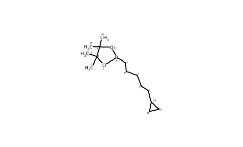 CC1(C)OB(CCCCCC2CC2)OC1(C)C